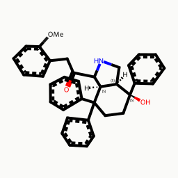 COc1ccccc1CC(=O)C1NC[C@@H]2[C@H]1C(c1ccccc1)(c1ccccc1)CC[C@@]2(O)c1ccccc1